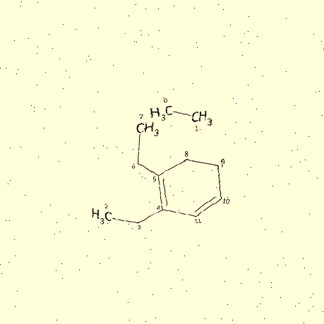 CC.CCC1=C(CC)C[CH]C=C1